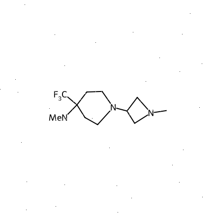 CNC1(C(F)(F)F)CCN(C2CN(C)C2)CC1